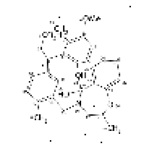 COc1cccc(C(CC(=O)O)c2ccc(C)c(CN3CC(C)Oc4ccccc4S3(O)O)c2)c1C